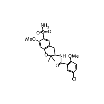 COc1ccc(Cl)cc1C(=O)NC1Cc2cc(S(N)(=O)=O)c(OC)cc2OC1(C)C